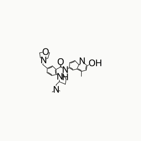 Cc1cc(O)nc2ccc(NC(=O)c3cc(CN4CCOCC4)ccc3N3CCCC3CN(C)C)cc12